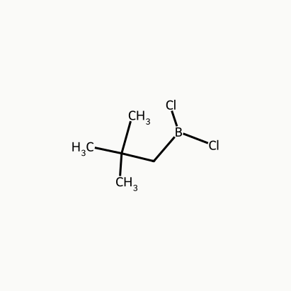 CC(C)(C)CB(Cl)Cl